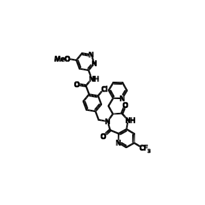 COc1cnnc(NC(=O)c2ccc(CN3C(=O)c4ncc(C(F)(F)F)cc4NC(=O)C3Cc3ccccn3)cc2Cl)c1